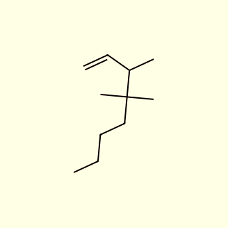 C=CC(C)C(C)(C)CCCC